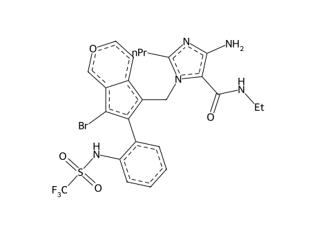 CCCc1nc(N)c(C(=O)NCC)n1Cc1c2ccocc-2c(Br)c1-c1ccccc1NS(=O)(=O)C(F)(F)F